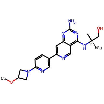 CCCC[C@](C)(CO)Nc1nc(N)nc2cc(-c3ccc(N4CC(OCC)C4)nc3)ncc12